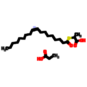 CCC(=O)O.CCCCCCCC/C=C\CCCCCCCC(=O)SC(C)C(=O)O